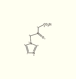 CCOC(=O)CC(=O)Cn1ccnc1